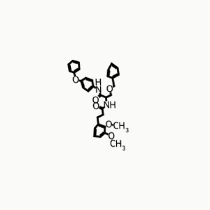 COc1cccc(CCC(=O)NC(COCc2ccccc2)C(=O)Nc2ccc(Oc3ccccc3)cc2)c1OC